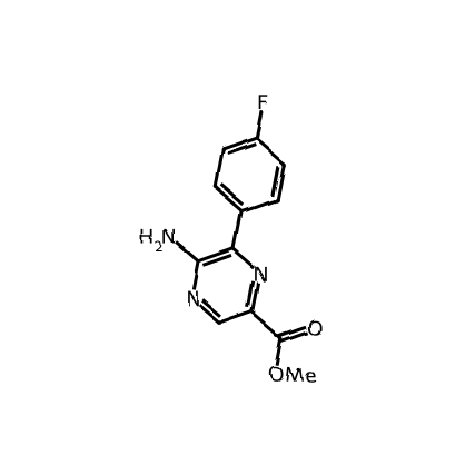 COC(=O)c1cnc(N)c(-c2ccc(F)cc2)n1